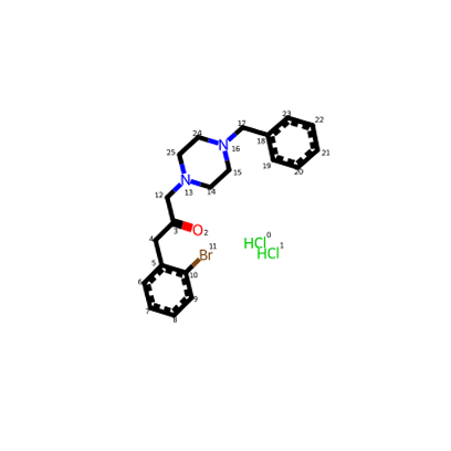 Cl.Cl.O=C(Cc1ccccc1Br)CN1CCN(Cc2ccccc2)CC1